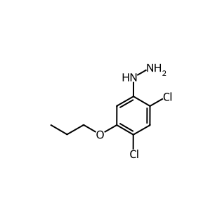 CCCOc1cc(NN)c(Cl)cc1Cl